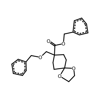 O=C(OCc1ccccc1)C1(COCc2ccccc2)CCC2(CC1)OCCO2